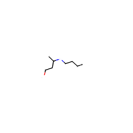 CC(CCO)NCCCS(=O)(=O)O